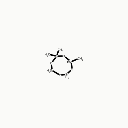 C[SiH]1O[SiH2]O[SiH2]O[Si](C)(C)O1